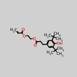 C=CC(=O)OCCOC(=O)CCc1cc(C(C)(C)C)c(O)c(C(C)(C)C)c1